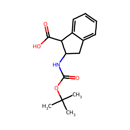 CC(C)(C)OC(=O)NC1Cc2ccccc2C1C(=O)O